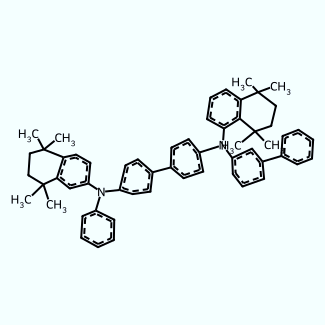 CC1(C)CCC(C)(C)c2cc(N(c3ccccc3)c3ccc(-c4ccc(N(c5cccc(-c6ccccc6)c5)c5cccc6c5C(C)(C)CCC6(C)C)cc4)cc3)ccc21